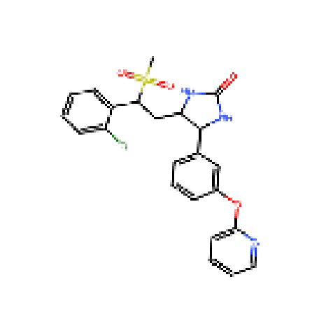 CS(=O)(=O)C(CC1NC(=O)NC1c1cccc(Oc2ccccn2)c1)c1ccccc1Cl